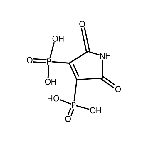 O=C1NC(=O)C(P(=O)(O)O)=C1P(=O)(O)O